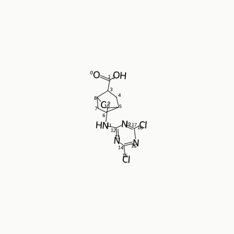 O=C(O)C1CC2CCC1CC2Nc1nc(Cl)nc(Cl)n1